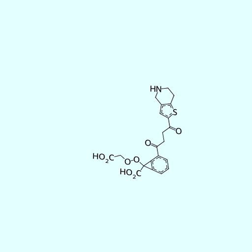 O=C(O)COOC1(C(=O)O)c2cccc(C(=O)CCC(=O)c3cc4c(s3)CCNC4)c21